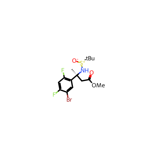 COC(=O)C[C@](C)(N[S@+]([O-])C(C)(C)C)c1cc(Br)c(F)cc1F